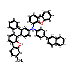 CC1C=Cc2c(oc3c(-c4ccc(N(c5ccc(-c6ccc7ccccc7c6)cc5)c5cccc6c5oc5ccccc56)cc4-c4ccccc4)cccc23)C1